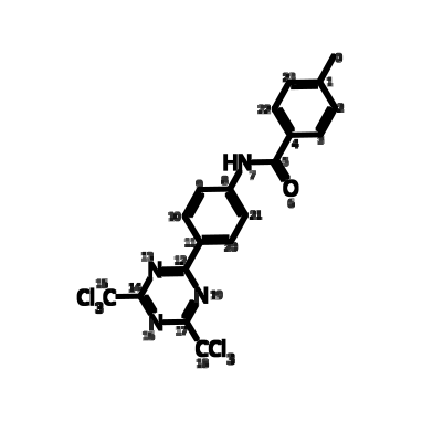 Cc1ccc(C(=O)Nc2ccc(-c3nc(C(Cl)(Cl)Cl)nc(C(Cl)(Cl)Cl)n3)cc2)cc1